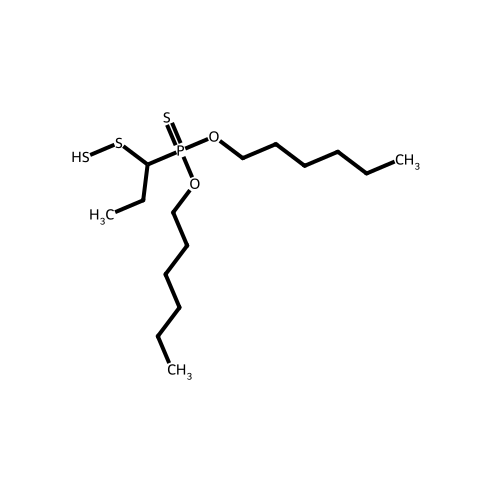 CCCCCCOP(=S)(OCCCCCC)C(CC)SS